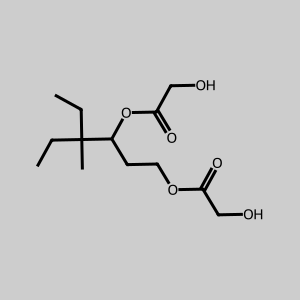 CCC(C)(CC)C(CCOC(=O)CO)OC(=O)CO